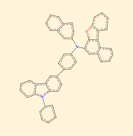 c1ccc(-n2c3ccccc3c3cc(-c4ccc(N(c5ccc6ccccc6c5)c5cc6ccccc6c6c5oc5ccccc56)cc4)ccc32)cc1